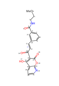 COCCNC(=O)c1cccc(/C=C/C(=O)c2c(O)c3cccnc3oc2=O)c1